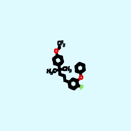 CC(C)(CCCc1ccc(F)c(Oc2ccccc2)c1)c1ccc(OCC(F)(F)F)cc1